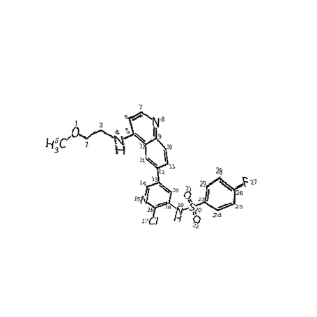 COCCNc1ccnc2ccc(-c3cnc(Cl)c(NS(=O)(=O)c4ccc(F)cc4)c3)cc12